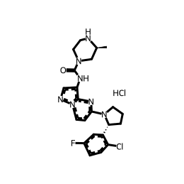 C[C@H]1CN(C(=O)Nc2cnn3ccc(N4CCC[C@@H]4c4cc(F)ccc4Cl)nc23)CCN1.Cl